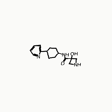 O=C(NC1CCC(c2ccccn2)CC1)C1(O)CNC1